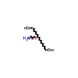 CCCCCCCCCCCCCCCCCCC(CCCCCCCCCCCCCCC)OCCCN